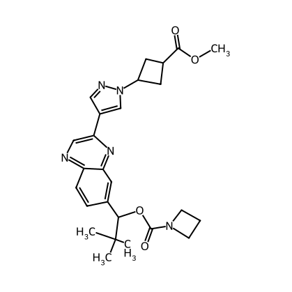 COC(=O)C1CC(n2cc(-c3cnc4ccc(C(OC(=O)N5CCC5)C(C)(C)C)cc4n3)cn2)C1